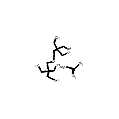 C=C(C)C(=O)O.OCC(CO)(CO)COCC(CO)(CO)CO